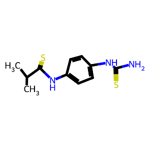 CC(C)C(=S)Nc1ccc(NC(N)=S)cc1